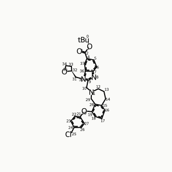 CC(C)(C)OC(=O)c1ccc2nc(CN3CCCc4cccc(Oc5ccc(Cl)cc5)c4C3)n(C[C@@H]3CCO3)c2c1